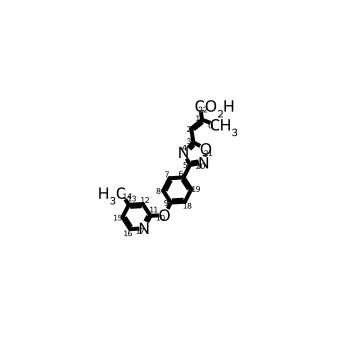 CC(=Cc1nc(-c2ccc(Oc3cc(C)ccn3)cc2)no1)C(=O)O